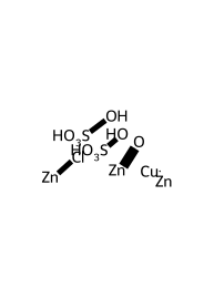 O=S(=O)(O)O.O=S(=O)(O)O.[Cl][Zn].[Cu].[O]=[Zn].[Zn]